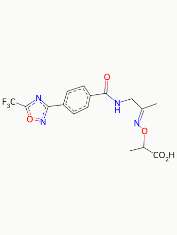 CC(CNC(=O)c1ccc(-c2noc(C(F)(F)F)n2)cc1)=NOC(C)C(=O)O